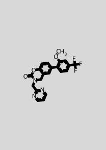 COc1cc(C(F)(F)F)ccc1-c1ccc2c(c1)CN(Cc1ncccn1)C(=O)O2